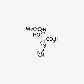 COc1ccc2nccc([C@@H](O)CC[C@@H]3CCN(CC#Cc4ncccn4)C[C@@H]3CC(=O)O)c2c1